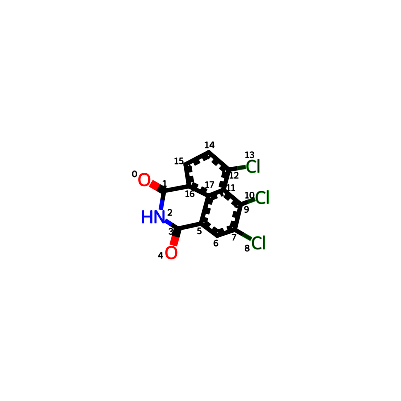 O=C1NC(=O)c2cc(Cl)c(Cl)c3c(Cl)ccc1c23